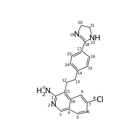 Nc1ncc2ccc(Cl)cc2c1CCc1ccc(C2=NCCN2)cc1